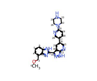 COCc1cccc2[nH]c(-c3n[nH]c4ncc(-c5ccc(N6CCNCC6)nc5)cc34)nc12